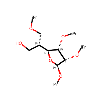 CC(C)OC[C@@H](CO)[C@@H]1O[C@H](OC(C)C)[C@@H](OC(C)C)[C@H]1OC(C)C